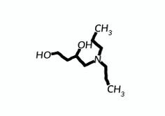 CCCN(CCC)CC(O)CCO